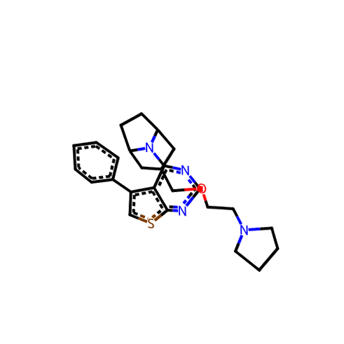 c1ccc(-c2csc3ncnc(N4C5CCC4CC(COCCN4CCCC4)C5)c23)cc1